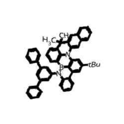 CC(C)(C)c1cc2c3c(c1)N1c4cc5ccccc5cc4C(C)(C)c4cccc(c41)B3N(c1cc(-c3ccccc3)cc(-c3ccccc3)c1)c1ccccc1-2